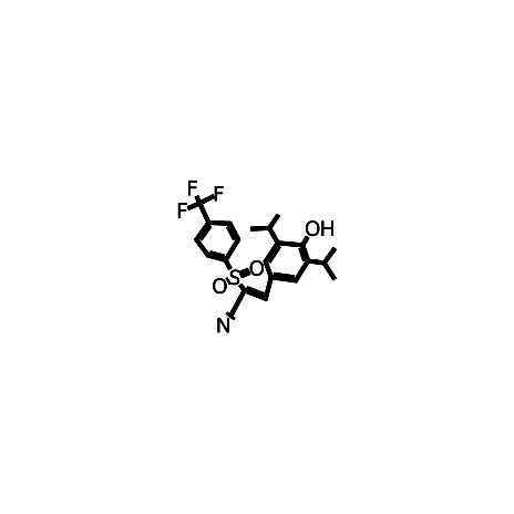 CC(C)c1cc(C=C(C#N)S(=O)(=O)c2ccc(C(F)(F)F)cc2)cc(C(C)C)c1O